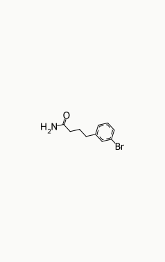 NC(=O)CCCc1cccc(Br)c1